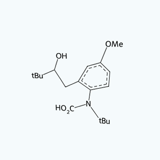 COc1ccc(N(C(=O)O)C(C)(C)C)c(CC(O)C(C)(C)C)c1